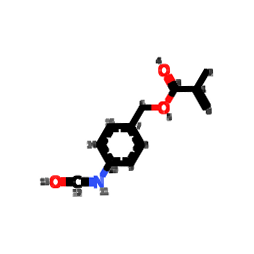 C=C(C)C(=O)OCc1ccc(N=C=O)cc1